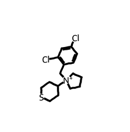 Clc1ccc(C[N+]2(C3CCSCC3)CCCC2)c(Cl)c1